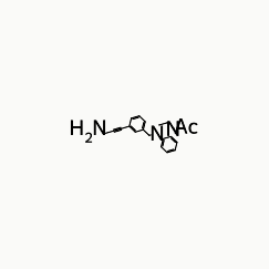 CC(=O)N1CCN(Cc2cccc(C#CCN)c2)c2ccccc21